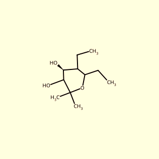 CCC1OC(C)(C)C(O)[C@@H](O)C1CC